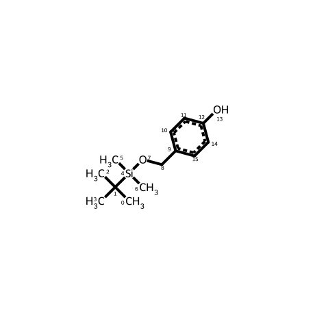 CC(C)(C)[Si](C)(C)OCc1ccc(O)cc1